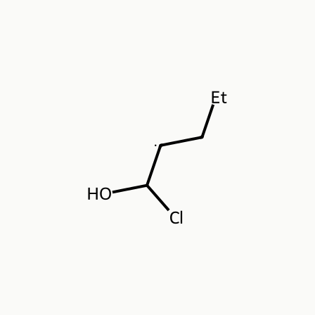 CCC[CH]C(O)Cl